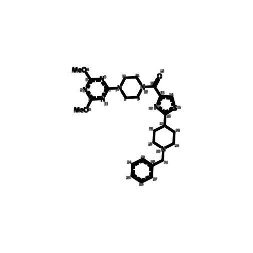 COc1nc(OC)nc(N2CCN(C(=O)c3csc(C4CCN(Cc5ccccc5)CC4)n3)CC2)n1